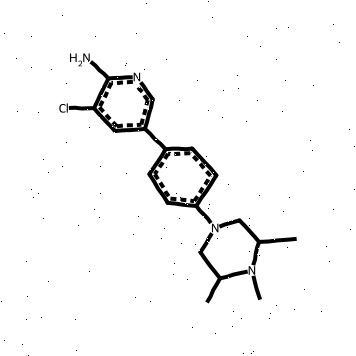 CC1CN(c2ccc(-c3cnc(N)c(Cl)c3)cc2)CC(C)N1C